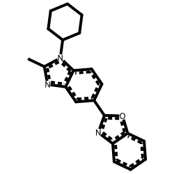 Cc1nc2cc(-c3nc4ccccc4o3)ccc2n1C1CCCCC1